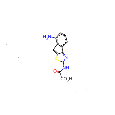 Nc1cccc2c1C=C1SC(NC(=O)C(=O)O)N=C12